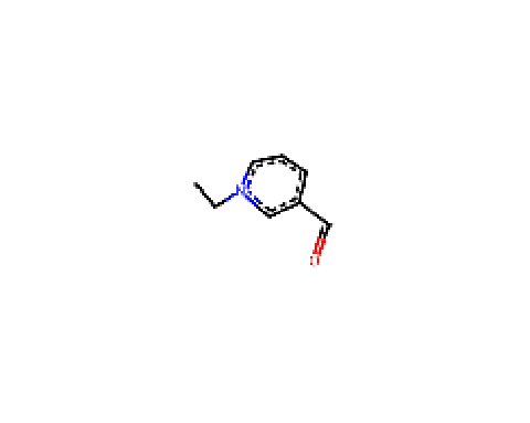 CC[n+]1cccc([C]=O)c1